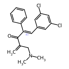 C=C(CN(C)C)C(=O)/C(=C/c1cc(Cl)cc(Cl)c1)c1ccccc1